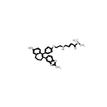 Cc1nc2cc(C3=C(c4ccc(OCCNC/C=C/C(=O)N(C)C)cc4)c4ccc(O)cc4CCC3)ccc2o1